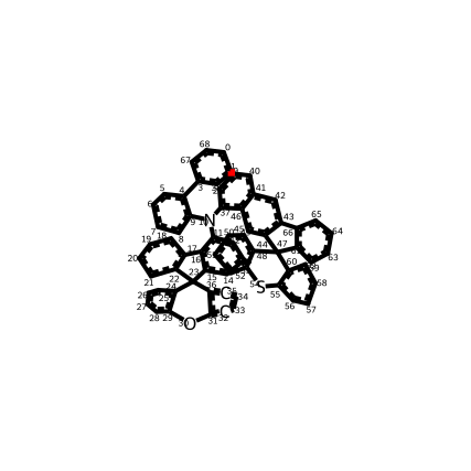 c1ccc(-c2ccccc2N(c2cccc3c2-c2ccccc2C32c3ccccc3Oc3ccccc32)c2cccc3cc4c(cc23)C2(c3ccccc3Sc3ccccc32)c2ccccc2-4)cc1